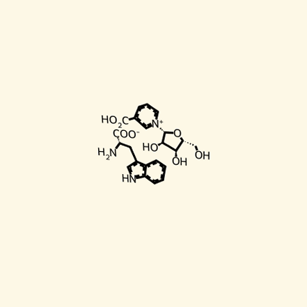 N[C@@H](Cc1c[nH]c2ccccc12)C(=O)[O-].O=C(O)c1ccc[n+]([C@@H]2O[C@H](CO)[C@@H](O)[C@H]2O)c1